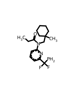 CCC(=O)N(CC1(C)CCCCC1)c1cccc(C(F)(F)P)n1